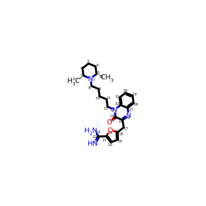 C[C@@H]1CCC[C@H](C)N1CCCCCn1c(=O)c(Cc2ccc(C(=N)N)o2)nc2ccccc21